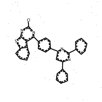 Clc1nc(-c2ccc(-c3cc(-c4ccccc4)nc(-c4ccccc4)n3)cc2)c2c(n1)sc1ccccc12